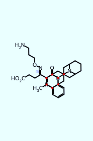 CC1CC2CC(C1)CC(N1C3CCCC1CC(n1c(=O)c(/C(CCC(=O)O)=N/OCCCN)nc4ccccc41)C3)C2